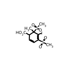 CC1(S(C)(=O)=O)C(I)=C(S(C)(=O)=O)C=CC1C(=O)O